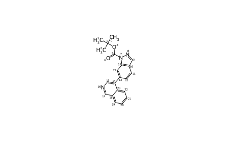 CC(C)(C)OC(=O)n1ncc2ccc(-c3cncc4ccccc34)cc21